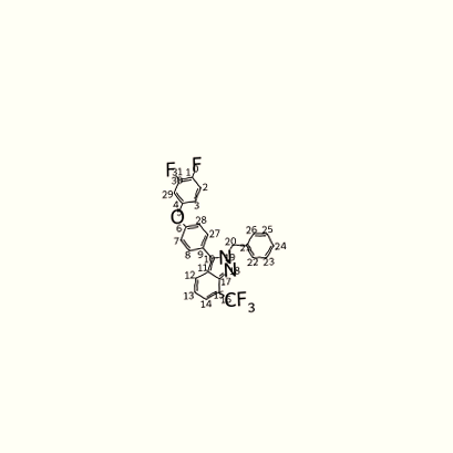 Fc1ccc(Oc2ccc(-c3c4cccc(C(F)(F)F)c4nn3Cc3ccccc3)cc2)cc1F